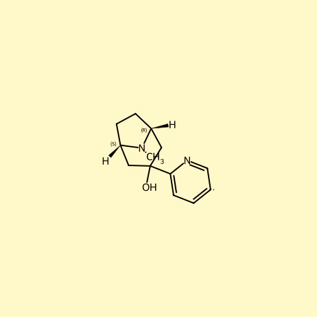 CN1[C@@H]2CC[C@H]1CC(O)(c1cc[c]cn1)C2